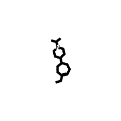 CCC1=CCCC(C2CCN(C(C)C)CC2)CC1